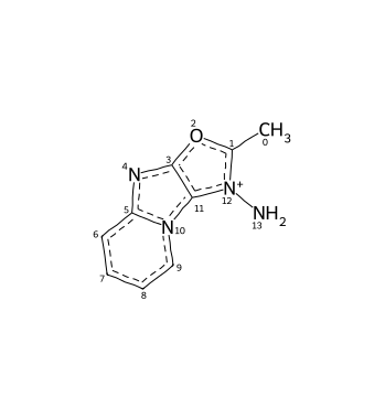 Cc1oc2nc3ccccn3c2[n+]1N